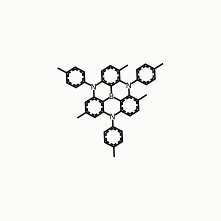 Cc1ccc(N2c3cc(C)cc4c3B3c5c2ccc(C)c5N(c2ccc(C)cc2)c2c(C)ccc(c23)N4c2ccc(C)cc2)cc1